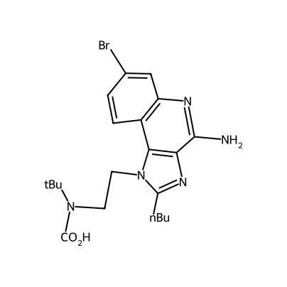 CCCCc1nc2c(N)nc3cc(Br)ccc3c2n1CCN(C(=O)O)C(C)(C)C